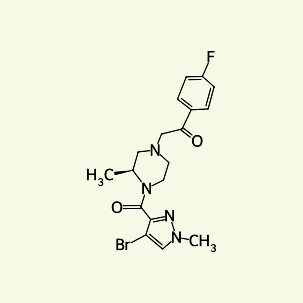 C[C@H]1CN(CC(=O)c2ccc(F)cc2)CCN1C(=O)c1nn(C)cc1Br